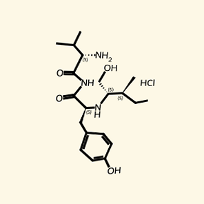 CC[C@H](C)[C@@H](CO)N[C@@H](Cc1ccc(O)cc1)C(=O)NC(=O)[C@@H](N)C(C)C.Cl